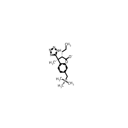 CCC[C@H](C(=O)[O-])[C@@](C)(c1ccc(C[N+](C)(C)C)cc1)c1nnn[nH]1